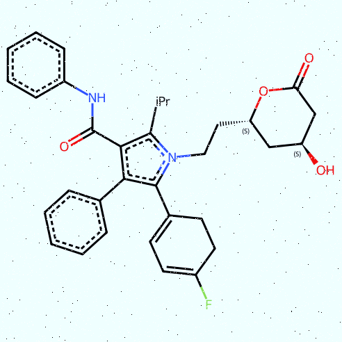 CC(C)c1c(C(=O)Nc2ccccc2)c(-c2ccccc2)c(C2=CC=C(F)CC2)n1CC[C@H]1C[C@H](O)CC(=O)O1